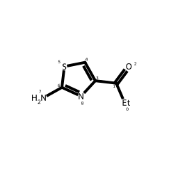 CCC(=O)c1csc(N)n1